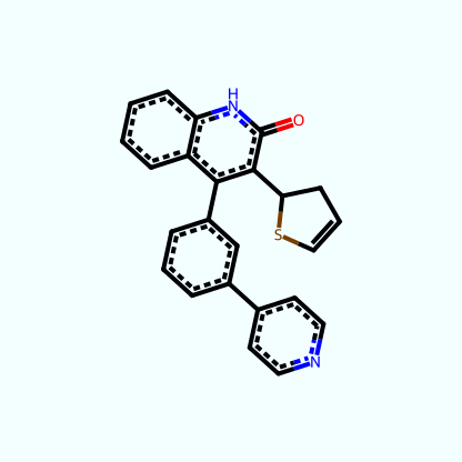 O=c1[nH]c2ccccc2c(-c2cccc(-c3ccncc3)c2)c1C1CC=CS1